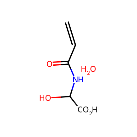 C=CC(=O)NC(O)C(=O)O.O